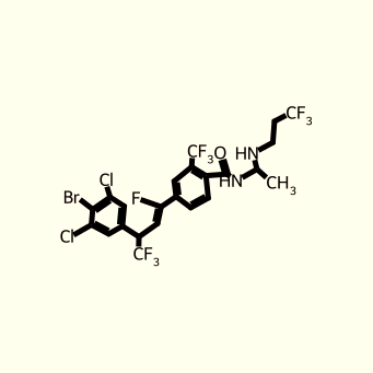 CC(NCCC(F)(F)F)NC(=O)c1ccc(/C(F)=C/C(c2cc(Cl)c(Br)c(Cl)c2)C(F)(F)F)cc1C(F)(F)F